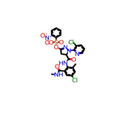 CNC(=O)c1cc(Cl)cc(C)c1NC(=O)C1CC(OS(=O)(=O)c2ccccc2[N+](=O)[O-])=NN1c1ncccc1Cl